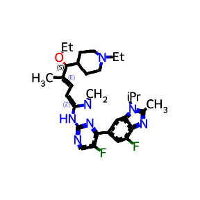 C=N/C(=C\C=C(/C)[C@@H](OCC)C1CCN(CC)CC1)Nc1ncc(F)c(-c2cc(F)c3nc(C)n(C(C)C)c3c2)n1